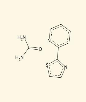 NC(N)=O.c1ccc(-c2nccs2)nc1